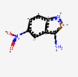 Nc1snc2ccc([N+](=O)[O-])cc12